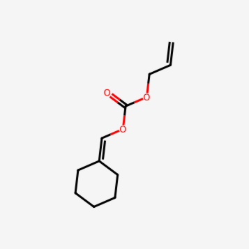 C=CCOC(=O)OC=C1CCCCC1